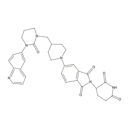 O=C1CCC(N2C(=O)c3ccc(N4CCC(CN5CCCN(c6ccc7ncccc7c6)C5=O)CC4)cc3C2=O)C(=O)N1